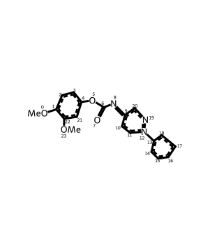 COc1ccc(OC(=O)N=c2ccn(-c3ccccc3)nc2)cc1OC